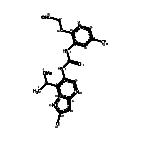 COC(C)c1c(NC(=O)Nc2cc(C(F)(F)F)cnc2OCC=O)cnc2cc(Cl)nn12